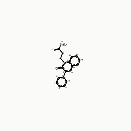 COC(=O)CCn1c(=O)c(-c2ccccc2)cc2ccccc21